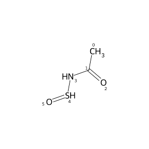 CC(=O)N[SH]=O